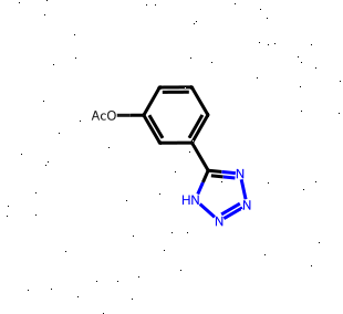 CC(=O)Oc1cccc(-c2nnn[nH]2)c1